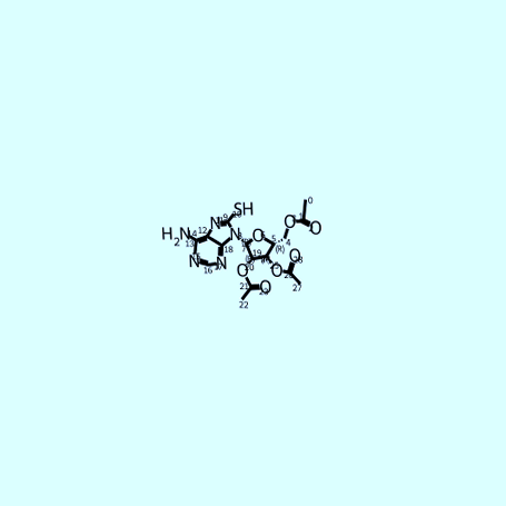 CC(=O)OC[C@H]1O[C@@H](n2c(S)nc3c(N)ncnc32)[C@H](OC(C)=O)[C@@H]1OC(C)=O